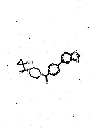 O=C(c1ccc(-c2ccc3ocnc3c2)cc1)N1CCN(C(=O)C2(O)CC2)CC1